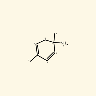 CC1=C[CH]C(C)(N)C=C1